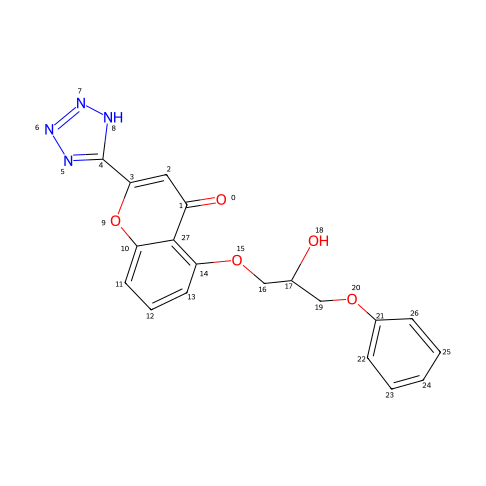 O=c1cc(-c2nnn[nH]2)oc2cccc(OCC(O)COc3ccccc3)c12